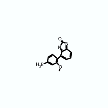 Bc1ccc(-c2cccc3c2=NC(=O)N=3)c(OC)c1